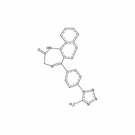 Cc1nnnn1-c1ccc(C2=NCC(=O)Nc3c2ccc2ccccc32)cc1